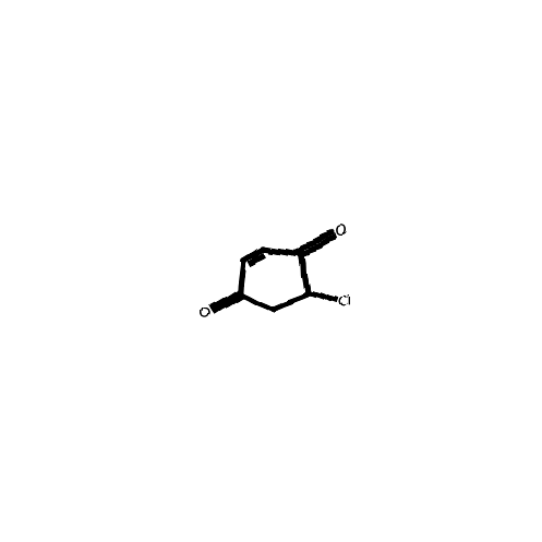 O=C1C=CC(=O)C(Cl)C1